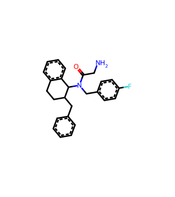 NCC(=O)N(Cc1ccc(F)cc1)C1c2ccccc2CCC1Cc1ccccc1